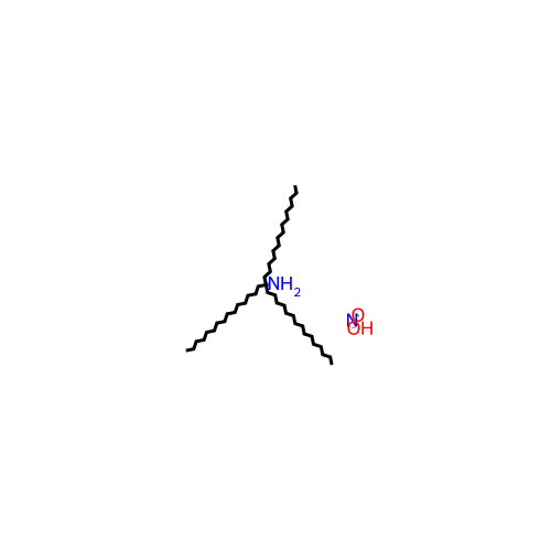 CCCCCCCCCCCCCCCC(N)(CCCCCCCCCCCCCCC)CCCCCCCCCCCCCCC.O=NO